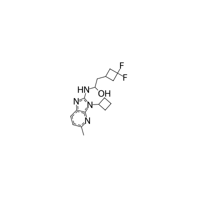 Cc1ccc2nc(NC(O)CC3CC(F)(F)C3)n(C3CCC3)c2n1